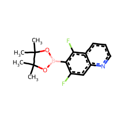 CC1(C)OB(c2c(F)cc3ncccc3c2F)OC1(C)C